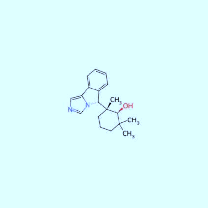 CC1(C)CCC[C@](C)([C@H]2c3ccccc3-c3cncn32)[C@H]1O